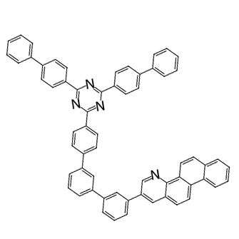 c1ccc(-c2ccc(-c3nc(-c4ccc(-c5ccccc5)cc4)nc(-c4ccc(-c5cccc(-c6cccc(-c7cnc8c(ccc9c%10ccccc%10ccc98)c7)c6)c5)cc4)n3)cc2)cc1